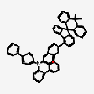 CC1(C)c2ccccc2C2(c3ccccc3-c3c(-c4ccc5cc(N(c6ccc(-c7ccccc7)cc6)c6ccccc6-c6ccccc6)ccc5c4)cccc32)c2ccccc21